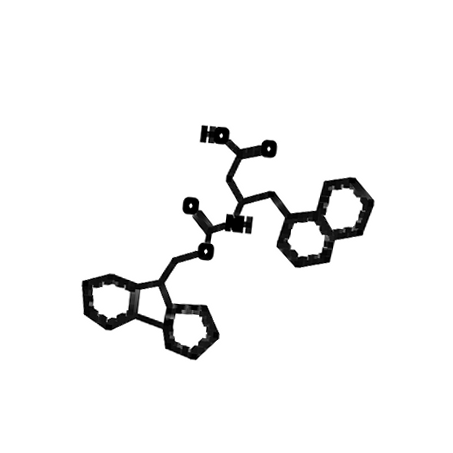 O=C(O)CC(Cc1cccc2ccccc12)NC(=O)OCC1c2ccccc2-c2ccccc21